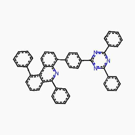 c1ccc(-c2nc(-c3ccccc3)nc(-c3ccc(-c4cccc5c4nc(-c4ccccc4)c4cccc(-c6ccccc6)c45)cc3)n2)cc1